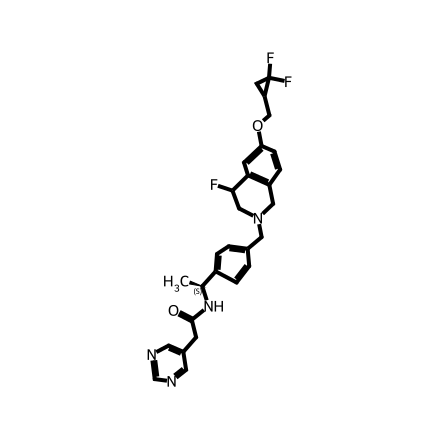 C[C@H](NC(=O)Cc1cncnc1)c1ccc(CN2Cc3ccc(OCC4CC4(F)F)cc3C(F)C2)cc1